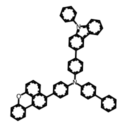 c1ccc(-c2ccc(N(c3ccc(-c4ccc5c(c4)c4ccccc4n5-c4ccccc4)cc3)c3ccc(-c4ccc5c6c(cccc46)Oc4ccccc4-5)cc3)cc2)cc1